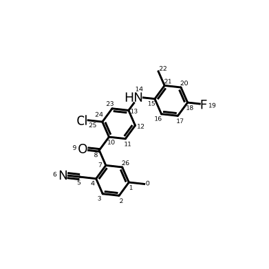 Cc1ccc(C#N)c(C(=O)c2ccc(Nc3ccc(F)cc3C)cc2Cl)c1